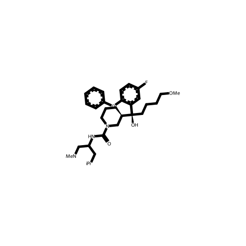 CNCC(CC(C)C)NC(=O)N1CCC[C@@H]([C@@](O)(CCCCOC)c2cc(F)ccc2Oc2ccccc2)C1